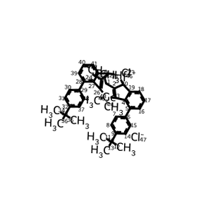 CCC1=[C]2c3c(-c4ccc(C(C)(C)C)cc4)cccc3[CH]1[Hf+2][CH]1C(CC)=[C](c3c(-c4ccc(C(C)(C)C)cc4)cccc31)[Ge]2([CH3])[CH3].[Cl-].[Cl-]